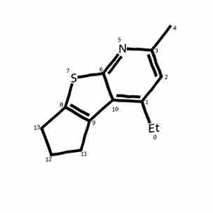 CCc1cc(C)nc2sc3c(c12)CCC3